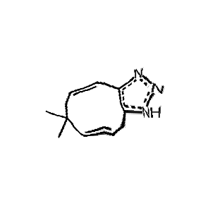 CC1(C)C=Cc2nn[nH]c2C=C1